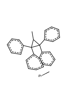 CC(C)C.CC1C(c2ccccc2)(c2ccccc2)C1(c1ccccc1)c1ccccc1